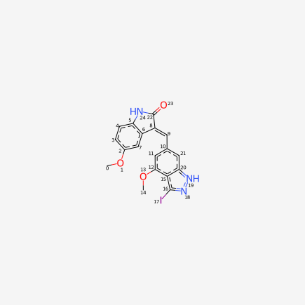 COc1ccc2c(c1)/C(=C\c1cc(OC)c3c(I)n[nH]c3c1)C(=O)N2